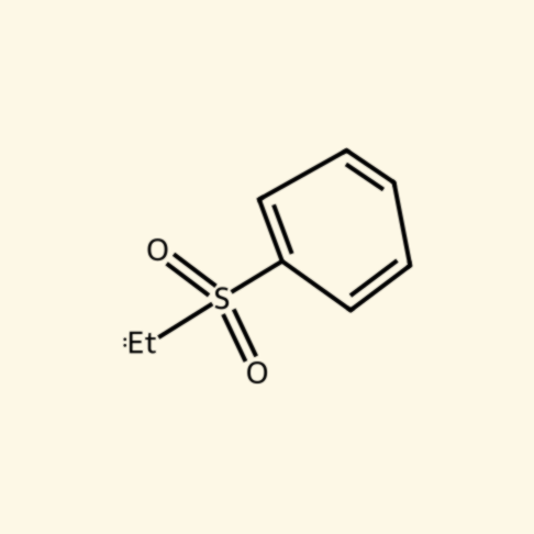 C[C]S(=O)(=O)c1ccccc1